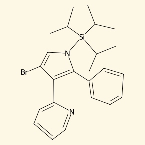 CC(C)[Si](C(C)C)(C(C)C)n1cc(Br)c(-c2ccccn2)c1-c1ccccc1